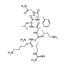 CC(C)C[C@H](NC(=O)[C@H](CCCCN)NC(=O)[C@H](CCCNC(=N)N)NC(=O)[C@@H](N)CCCCN)C(=O)N[C@@H](Cc1ccccc1)C(=O)NCC(N)=O